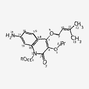 CCCCCCCCn1c(=O)c(OC(C)C)c(OCC=C(C)C)c2ccc(N)cc21